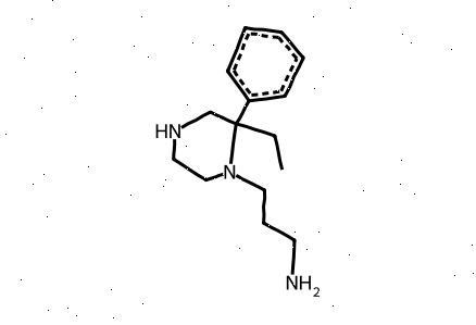 CCC1(c2ccccc2)CNCCN1CCCN